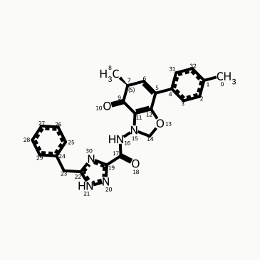 Cc1ccc(C2=C[C@H](C)C(=O)C3=C2OCN3NC(=O)c2n[nH]c(Cc3ccccc3)n2)cc1